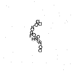 O=C(NC1CCN(Cc2ccc(Cl)cc2)CC1)c1ccc(OC2CCN(Cc3ccc(Cl)c(Cl)c3)CC2)c(F)c1